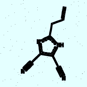 C=CCc1nc(C#N)c(C#N)[nH]1